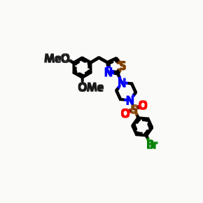 COc1cc(Cc2csc(N3CCN(S(=O)(=O)c4ccc(Br)cc4)CC3)n2)cc(OC)c1